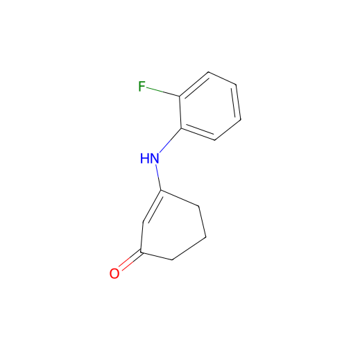 O=C1C=C(Nc2ccccc2F)CCC1